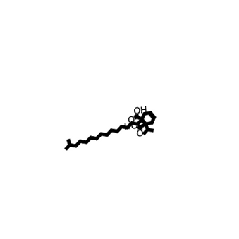 CC(C)CCCCCCCCCCCCCC1(C(=O)O)CC=CCC1(C(=O)O)C(C)C